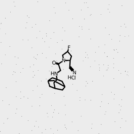 Cl.N#CC1CC(F)CN1C(=O)CNC12CC3CC(CC(C3)C1)C2